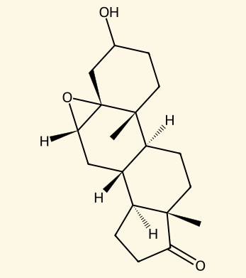 C[C@]12CC[C@H]3[C@@H](C[C@@H]4O[C@@]45CC(O)CC[C@]35C)[C@@H]1CCC2=O